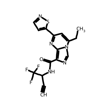 C#CC(NC(=O)c1ncn2c(CC)cc(-c3ccns3)nc12)C(F)(F)F